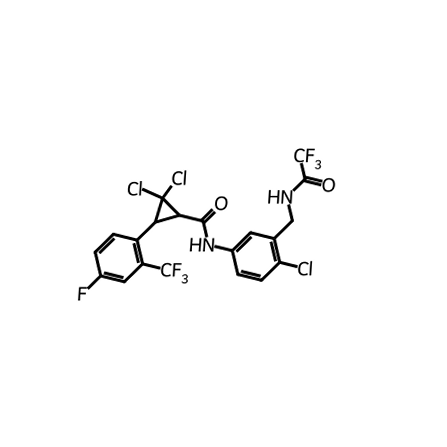 O=C(Nc1ccc(Cl)c(CNC(=O)C(F)(F)F)c1)C1C(c2ccc(F)cc2C(F)(F)F)C1(Cl)Cl